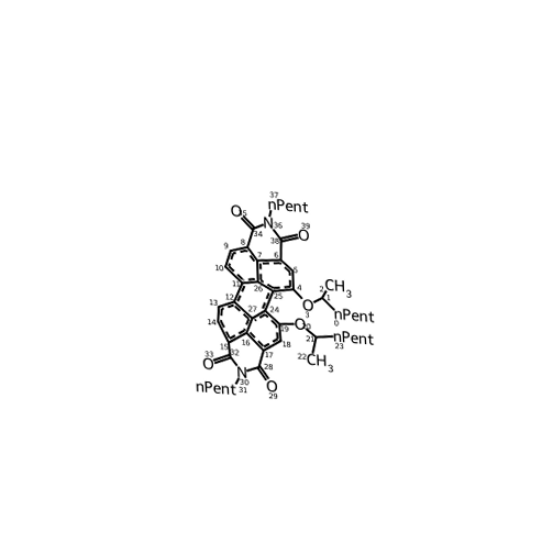 CCCCCC(C)Oc1cc2c3c(ccc4c5ccc6c7c(cc(OC(C)CCCCC)c(c1c34)c75)C(=O)N(CCCCC)C6=O)C(=O)N(CCCCC)C2=O